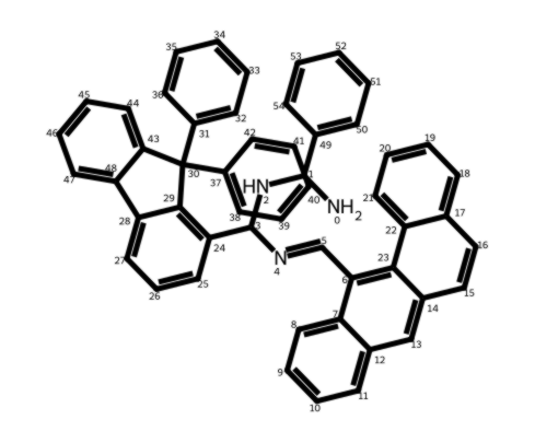 NC(NC(/N=C/c1c2ccccc2cc2ccc3ccccc3c12)c1cccc2c1C(c1ccccc1)(c1ccccc1)c1ccccc1-2)c1ccccc1